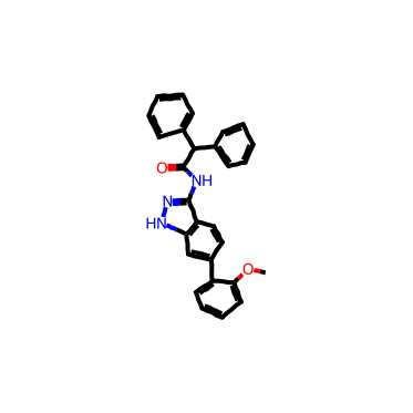 COc1ccccc1-c1ccc2c(NC(=O)C(c3ccccc3)c3ccccc3)n[nH]c2c1